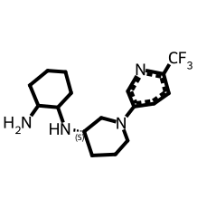 NC1CCCCC1N[C@H]1CCCN(c2ccc(C(F)(F)F)nc2)C1